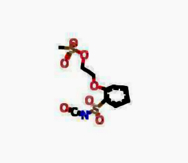 CS(=O)(=O)OCCOc1ccccc1S(=O)(=O)N=C=O